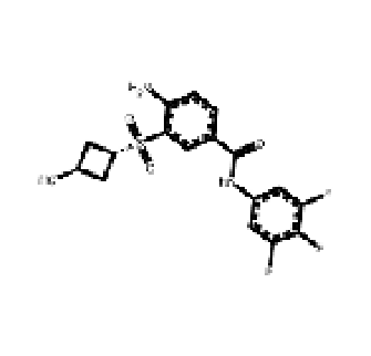 Nc1ccc(C(=O)Nc2cc(F)c(F)c(F)c2)cc1S(=O)(=O)[C@H]1C[C@H](O)C1